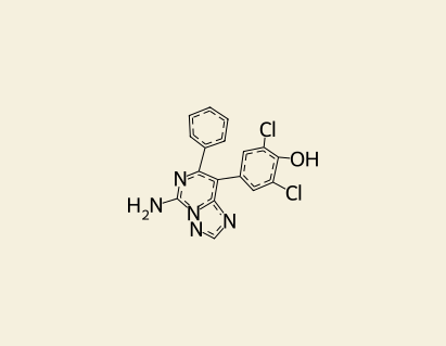 Nc1nc(-c2ccccc2)c(-c2cc(Cl)c(O)c(Cl)c2)c2ncnn12